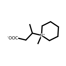 CC(CC(=O)[O-])[N+]1(C)CCCCC1